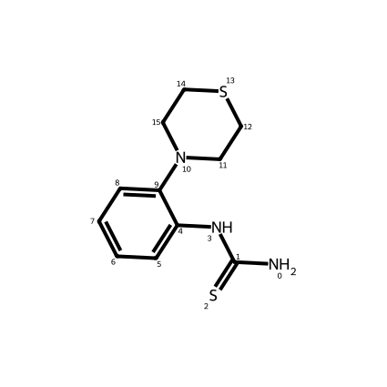 NC(=S)Nc1ccccc1N1CCSCC1